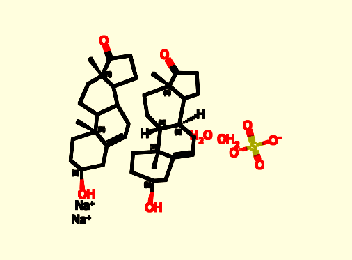 C[C@]12CC[C@H](O)CC1=CCC1C2CC[C@]2(C)C(=O)CCC12.C[C@]12CC[C@H](O)CC1=CC[C@@H]1C3CCC(=O)[C@@]3(C)CC[C@H]12.O.O.O=S(=O)([O-])[O-].[Na+].[Na+]